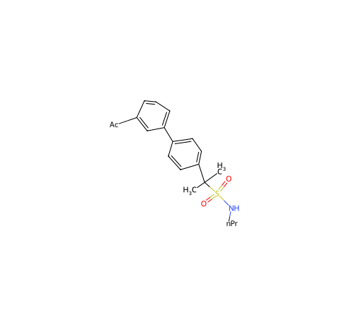 CCCNS(=O)(=O)C(C)(C)c1ccc(-c2cccc(C(C)=O)c2)cc1